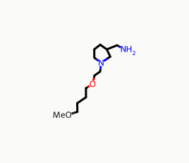 COCCCCOCCN1CCCC(CN)C1